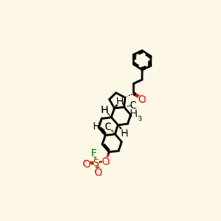 C[C@]12CC[C@H]3[C@@H](CC=C4C=C(OS(=O)(=O)F)CC[C@@]43C)[C@@H]1CC[C@@H]2C(=O)CCc1ccccc1